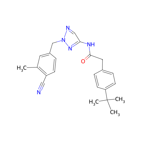 Cc1cc(Cn2ncc(NC(=O)Cc3ccc(C(C)(C)C)cc3)n2)ccc1C#N